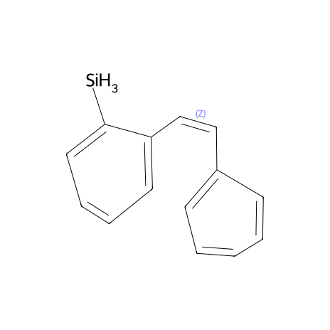 [SiH3]c1ccccc1/C=C\c1ccccc1